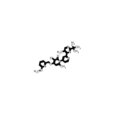 COc1cccc(COc2cc(C)n(-c3ccnc(-c4nc(C(C)(C)C)ncc4C)c3)c(=O)c2Cl)n1